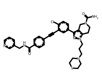 NC(=O)N1CCc2c(c(-c3ccc(Cl)c(C#Cc4ccc(C(=O)NCc5cccnc5)cc4)c3)nn2CCCN2CCSCC2)C1